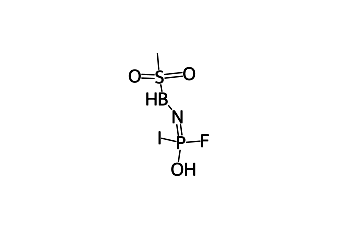 CS(=O)(=O)BN=P(O)(F)I